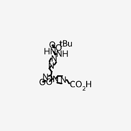 CN1C(=O)OC(N2CCN(CCC(=O)O)CC2)C1CCN1CCN(C(=N)NC(=O)OC(C)(C)C)CC1